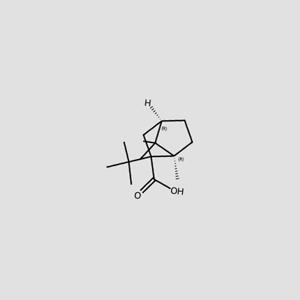 CC(C)(C)C1(C(=O)O)C[C@H]2CC[C@]1(C)C2(C)C